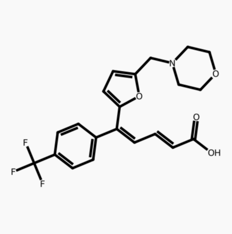 O=C(O)/C=C/C=C(/c1ccc(C(F)(F)F)cc1)c1ccc(CN2CCOCC2)o1